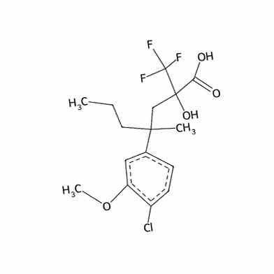 CCCC(C)(CC(O)(C(=O)O)C(F)(F)F)c1ccc(Cl)c(OC)c1